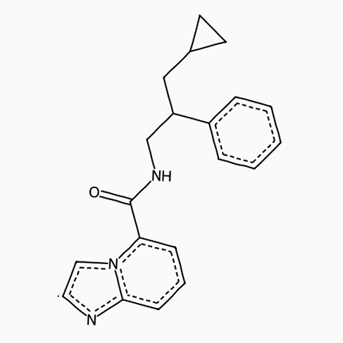 O=C(NCC(CC1CC1)c1ccccc1)c1cccc2n[c]cn12